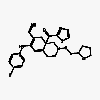 N=CC1=C(Nc2ccc(F)cc2)C=C2CCN(SCC3CCCO3)CC2(C(=O)c2nccs2)C1